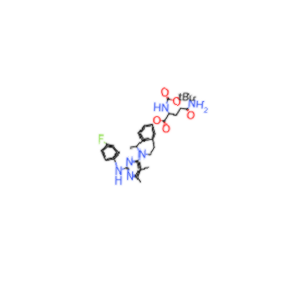 Cc1nc(Nc2ccc(F)cc2)nc(N2CCc3cc(OC(=O)C(CCC(N)=O)NC(=O)OC(C)(C)C)ccc3C2C)c1C